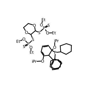 CC(C)OC1=CC=CC(OC(C)C)(P(C2CCCCC2)C2CCCCC2)C1c1ccccc1.CCOP(=S)(OCC)SC1OCCOC1SP(=S)(OCC)OCC